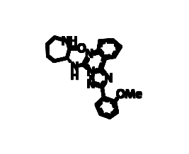 COc1ccccc1-c1nc2c3ccccc3nc(N[C@@H]3CCCCNC3=O)n2n1